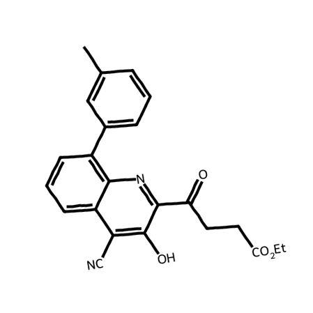 CCOC(=O)CCC(=O)c1nc2c(-c3cccc(C)c3)cccc2c(C#N)c1O